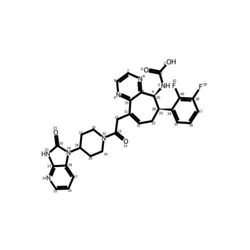 O=C(O)N[C@@H]1c2nccnc2C(CC(=O)N2CCC(n3c(=O)[nH]c4ncccc43)CC2)=CC[C@@H]1c1cccc(F)c1F